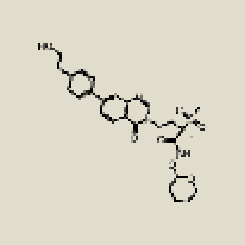 C[C@@](CCn1cnc2cc(-c3ccc(CCO)cc3)ccc2c1=O)(C(=O)NOC1CCCCO1)S(C)(=O)=O